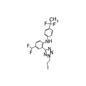 CC(F)(F)c1ccc(Nc2ccc(C(F)F)cc2-c2nnn(CCI)n2)cc1